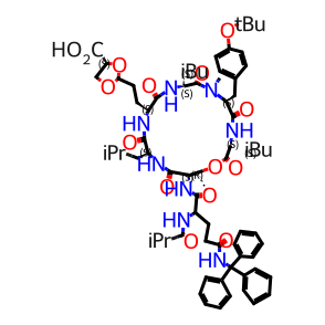 CC[C@H](C)[C@@H]1NC(=O)[C@H](Cc2ccc(OC(C)(C)C)cc2)N(C)C(=O)[C@H]([C@@H](C)CC)NC(=O)[C@H](CCC2OC[C@@H](C(=O)O)O2)NC(=O)[C@H](CC(C)C)NC(=O)[C@@H](NC(=O)C(CCC(=O)NC(c2ccccc2)(c2ccccc2)c2ccccc2)NC(=O)C(C)C)[C@@H](C)OC1=O